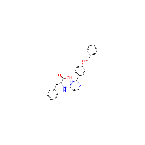 O=C(O)[C@H](Cc1ccccc1)Nc1ccnc(-c2ccc(OCc3ccccc3)cc2)n1